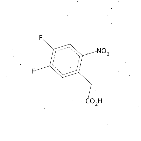 O=C(O)Cc1cc(F)c(F)cc1[N+](=O)[O-]